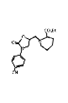 CCOC(=O)C1CCCCN1CC1CN(c2ccc(C#N)cc2)C(=O)O1